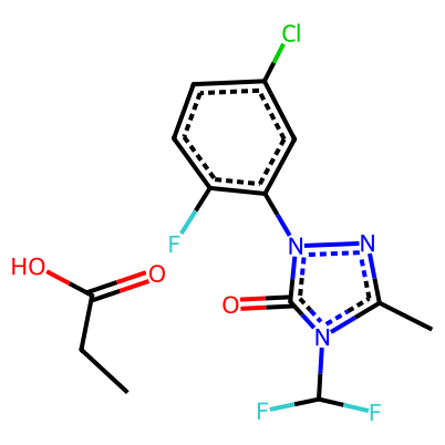 CCC(=O)O.Cc1nn(-c2cc(Cl)ccc2F)c(=O)n1C(F)F